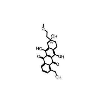 COCC[C@@]1(O)CCc2c(O)c3c(c(O)c2C1)C(=O)c1cccc(CO)c1C3=O